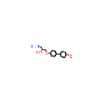 COc1ccc(-c2ccc(OCC(O)CN)cc2)cc1